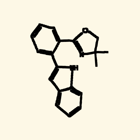 CC1(C)COC(c2ccccc2-c2cc3ccccc3[nH]2)=N1